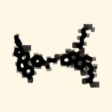 CC#C[C@]1(O)CCC2C3CCC4=CC(=O)CCC4=C3[C@@H](c3ccc(N(C)CCO[C@H]4CC[C@@]5(C)[C@@H](C4)C[C@@H](OC(=O)CCCCN)[C@@H]4[C@@H]5C[C@H](O)[C@]5(C)[C@@H]([C@H](C)CCC(=O)O)CC[C@@H]45)cc3)C[C@@]21C